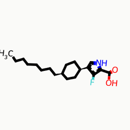 CCCCCCCC[C@H]1CC[C@@H](c2c[nH]c(C(=O)O)c2F)CC1